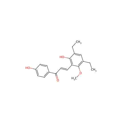 CCc1cc(CC)c(OC)c(C=CC(=O)c2ccc(O)cc2)c1O